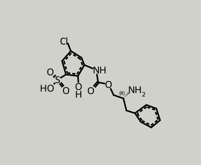 N[C@@H](COC(=O)Nc1cc(Cl)cc(S(=O)(=O)O)c1O)Cc1ccccc1